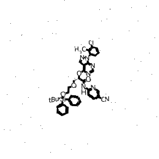 Cc1c(Cl)cccc1-n1ncc2c(O[C@@H](COCCO[Si](c3ccccc3)(c3ccccc3)C(C)(C)C)C(=O)Nc3ccc(C#N)cn3)ncnc21